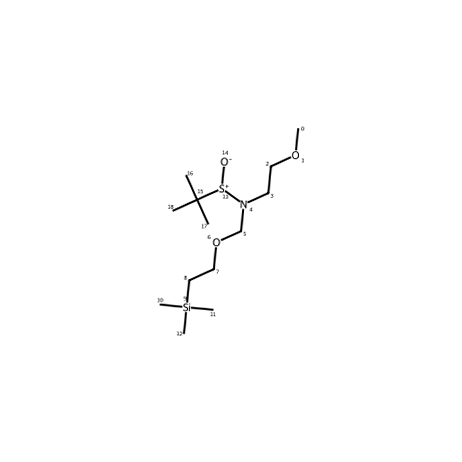 COCCN(COCC[Si](C)(C)C)[S+]([O-])C(C)(C)C